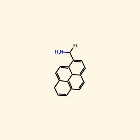 CCC(N)C1=CC=C2C=CC3=C4C(=CC=C1C24)CC=C3